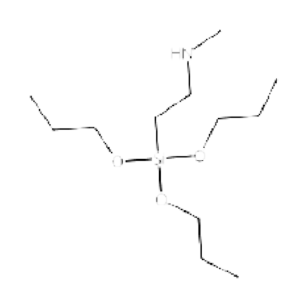 CCCO[Si](CCNC)(OCCC)OCCC